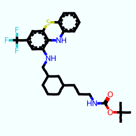 CC(C)(C)OC(=O)NCCCC1CCCC(CNc2cc(C(F)(F)F)cc3c2Nc2ccccc2S3)C1